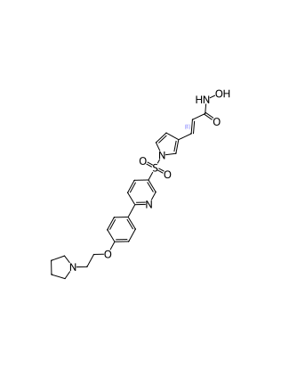 O=C(/C=C/c1ccn(S(=O)(=O)c2ccc(-c3ccc(OCCN4CCCC4)cc3)nc2)c1)NO